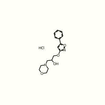 Cl.OC(COc1cc(-c2ccccc2)on1)CN1CCOCC1